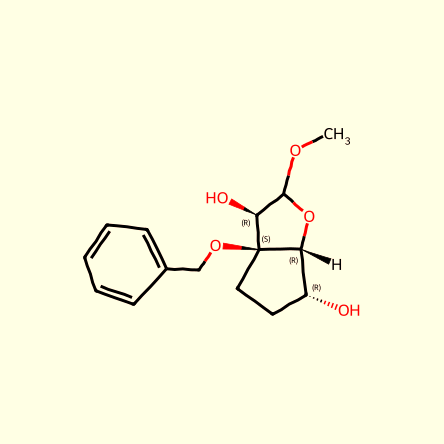 COC1O[C@@H]2[C@H](O)CC[C@]2(OCc2ccccc2)[C@H]1O